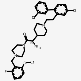 CCOc1cccc(F)c1CN1CCN(C(=O)[C@H](N)C2CCN(CCc3cc(Cl)ccc3-c3cccc(Cl)c3)CC2)CC1